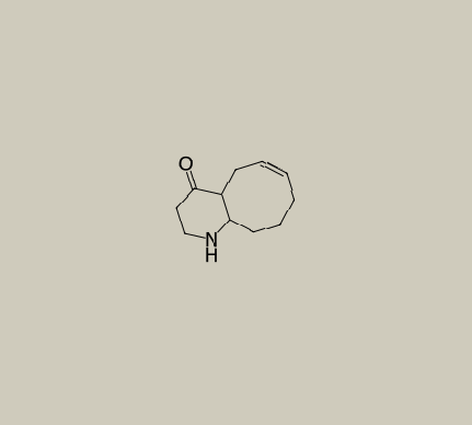 O=C1CCNC2CCC/C=C\CC12